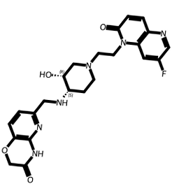 O=C1COc2ccc(CN[C@H]3CCN(CCn4c(=O)ccc5ncc(F)cc54)C[C@H]3O)nc2N1